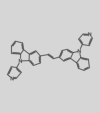 C(=C\c1ccc2c(c1)c1ccccc1n2-c1ccncc1)/c1ccc2c(c1)c1ccccc1n2-c1ccncc1